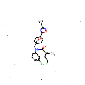 C=C(CCF)C(=O)N(CC12CCC(c3nc(C4CC4)no3)(CC1)OC2)c1cccc(Br)c1